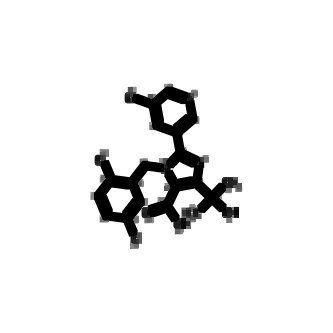 CC(C)(O)c1nc(-c2cncc(Cl)c2)n(Cc2cc(Cl)ccc2Cl)c1C(=O)O